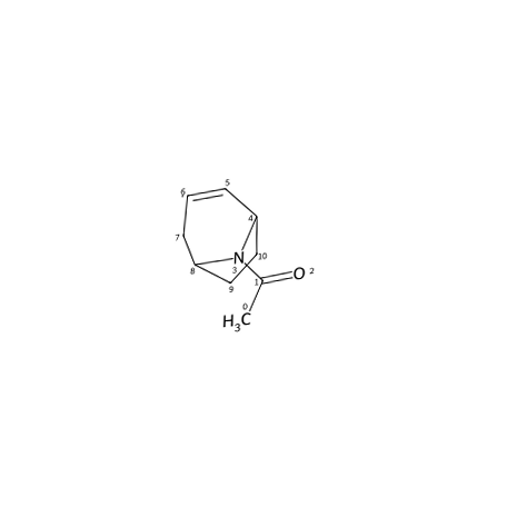 CC(=O)N1C2C=[C]CC1CC2